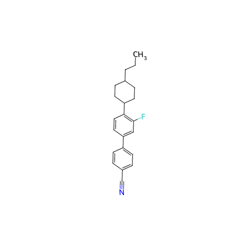 CCCC1CCC(c2ccc(-c3ccc(C#N)cc3)cc2F)CC1